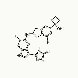 O=c1[nH]c(-c2c[nH]c3cc(F)c(N[C@H]4Cc5cc(C6(O)CCC6)cc(F)c5C4)nc23)no1